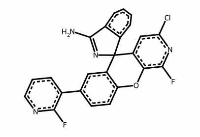 NC1=NC2(c3cc(-c4cccnc4F)ccc3Oc3c2cc(Cl)nc3F)c2ccccc21